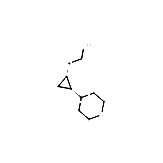 COCC[C@@H]1C[C@@H]1C1CCNCC1